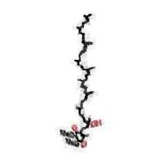 COC1=C(OC)C(=O)C(CCC(C)(O)CCC=C(C)CCC=C(C)CCC=C(C)CCC=C(C)CCC=C(C)CCC=C(C)CCC=C(C)CCC=C(C)C)=C(C)C1=O